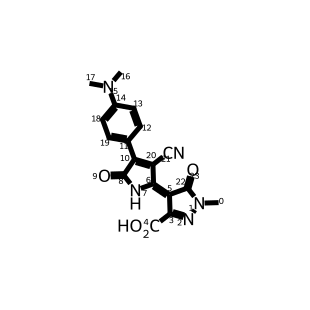 CN1N=C(C(=O)O)/C(=C2\NC(=O)C(c3ccc(N(C)C)cc3)=C2C#N)C1=O